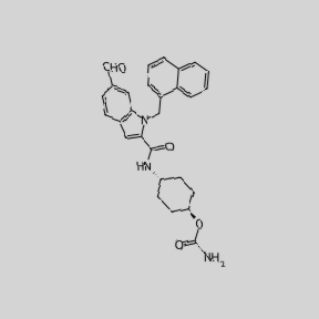 NC(=O)O[C@H]1CC[C@H](NC(=O)c2cc3ccc(C=O)cc3n2Cc2cccc3ccccc23)CC1